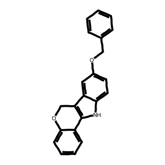 c1ccc(COc2ccc3[nH]c4c(c3c2)COc2ccccc2-4)cc1